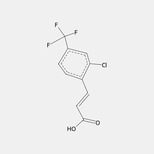 O=C(O)/C=C/c1ccc(C(F)(F)F)cc1Cl